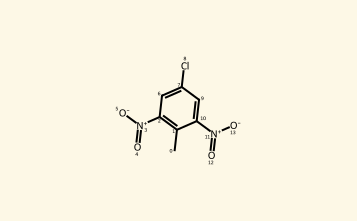 Cc1c([N+](=O)[O-])cc(Cl)cc1[N+](=O)[O-]